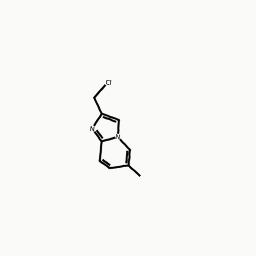 Cc1ccc2nc(CCl)cn2c1